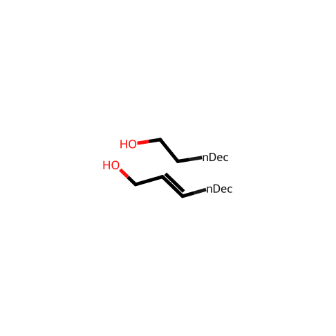 CCCCCCCCCCC=CCO.CCCCCCCCCCCCO